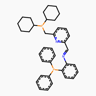 C(=N\c1ccccc1P(c1ccccc1)c1ccccc1)/c1cccc(CP(C2CCCCC2)C2CCCCC2)n1